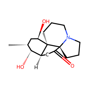 C[C@@H]1C[C@@H](O)[C@@]23CCCN4CCC[C@]42C(=O)C[C@H]3[C@@H]1O